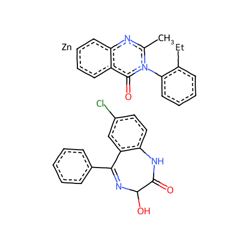 CCc1ccccc1-n1c(C)nc2ccccc2c1=O.O=C1Nc2ccc(Cl)cc2C(c2ccccc2)=NC1O.[Zn]